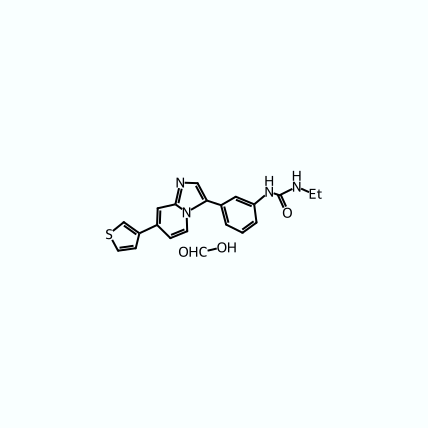 CCNC(=O)Nc1cccc(-c2cnc3cc(-c4ccsc4)ccn23)c1.O=CO